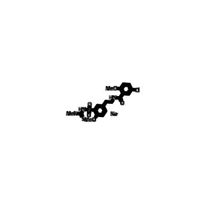 CNC(=S)NS(=O)(=O)c1cc(CCNC(=O)c2cc(Cl)ccc2OC)ccc1OC.[Na]